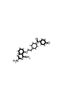 Nc1nc(N)c2c(OCCN3CCN(C(=O)c4ccc(Cl)cc4)CC3)cccc2n1